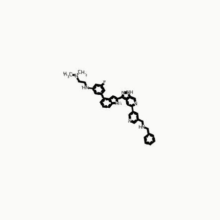 CN(C)CCNc1cc(F)cc(-c2cccc3[nH]c(-c4n[nH]c5cnc(-c6cncc(CNCc7ccccc7)c6)cc45)cc23)c1